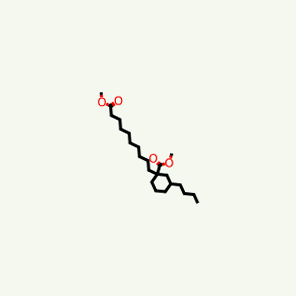 CCCCC1CCCC(CCCCCCCCCC(=O)OC)(C(=O)OC)C1